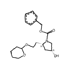 O=C(OCc1ccccc1)N1C[C@H](O)C[C@@H]1CCOC1CCCCO1